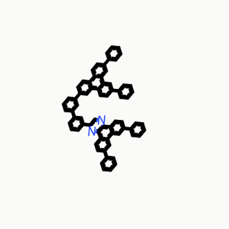 c1ccc(-c2ccc3c4ccc(-c5cccc(-c6cccc(-c7cnc8c9ccc(-c%10ccccc%10)cc9c9cc(-c%10ccccc%10)ccc9c8n7)c6)c5)cc4c4ccc(-c5ccccc5)cc4c3c2)cc1